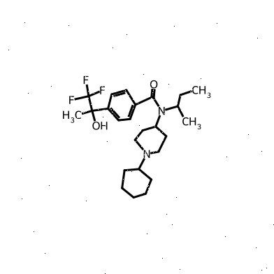 CCC(C)N(C(=O)c1ccc(C(C)(O)C(F)(F)F)cc1)C1CCN(C2CCCCC2)CC1